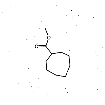 COC(=O)C1CCCCCCC1